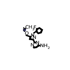 C/N=C\OCc1cc(-c2nccc(N)n2)nn1Cc1ccccc1F